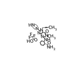 CC#CCn1c(N2CCNCC2)nc2nc(Nc3ccccc3C(N)=O)n(C)c(=O)c21.O=C(O)C(F)(F)F